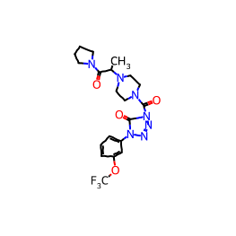 CC(C(=O)N1CCCC1)N1CCN(C(=O)n2nnn(-c3cccc(OC(F)(F)F)c3)c2=O)CC1